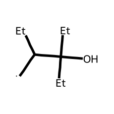 [CH2]C(CC)C(O)(CC)CC